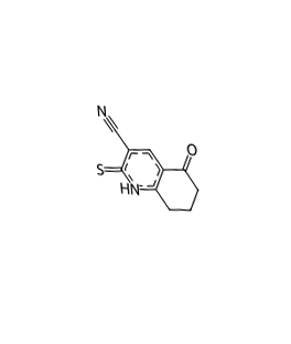 N#Cc1cc2c([nH]c1=S)CCCC2=O